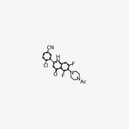 CC(=O)N1CCN(c2c(F)cc3[nH]c(-c4cc(C#N)ccc4Cl)cc(=O)c3c2F)CC1